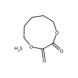 O=C1OCCCCCOC1=O.S